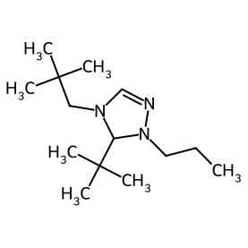 CCCN1N=CN(CC(C)(C)C)C1C(C)(C)C